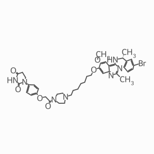 COc1cc2c(N[C@H](C)c3cccc(Br)c3)nc(C)nc2cc1OCCCCCCCN1CCN(C(=O)COc2ccc(N3CCC(=O)NC3=O)cc2)CC1